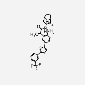 C=C(C(=O)NC1CC2CCC(C1)N2C)c1cc(-c2ccc(-c3cccc(C(F)(F)F)c3)s2)ccc1N